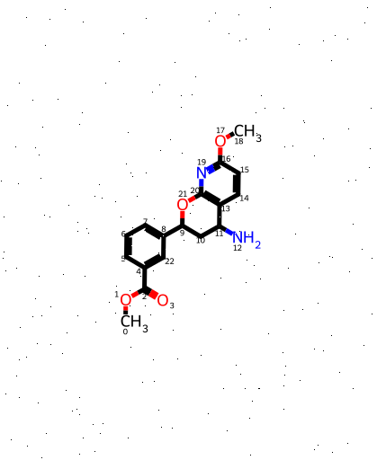 COC(=O)c1cccc(C2CC(N)c3ccc(OC)nc3O2)c1